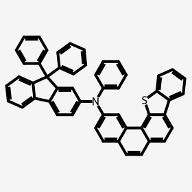 c1ccc(N(c2ccc3c(c2)C(c2ccccc2)(c2ccccc2)c2ccccc2-3)c2ccc3ccc4ccc5c6ccccc6sc5c4c3c2)cc1